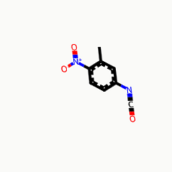 Cc1cc(N=C=O)ccc1[N+](=O)[O-]